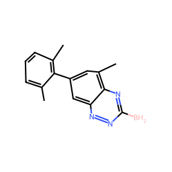 Bc1nnc2cc(-c3c(C)cccc3C)cc(C)c2n1